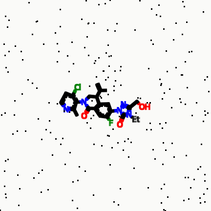 C=C(C)C1CN(c2c(Cl)ccnc2C)C(=O)c2cc(F)c(-n3nc(CO)n(CC)c3=O)cc21